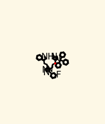 Fc1cccc(-c2nnc(CCc3c[nH]c4ccccc34)n2CCCc2cncn2C(c2ccccc2)(c2ccccc2)c2ccccc2)c1